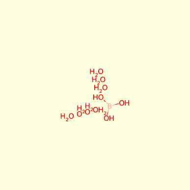 O.O.O.O.O.O.O.OB(O)O